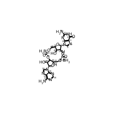 BP1(=O)OC[C@H]2O[C@@H](n3cnc4c(=O)[nH]c(N)nc43)[C@@H](OP(B)(=O)OC[C@H]3O[C@@H](n4cnc5c(N)ncnc54)[C@@H](O)C3O1)C2O